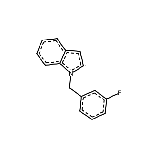 Fc1cccc(Cn2[c]cc3ccccc32)c1